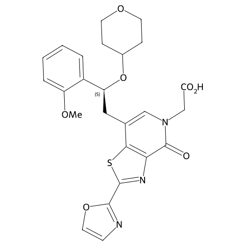 COc1ccccc1[C@H](Cc1cn(CC(=O)O)c(=O)c2nc(-c3ncco3)sc12)OC1CCOCC1